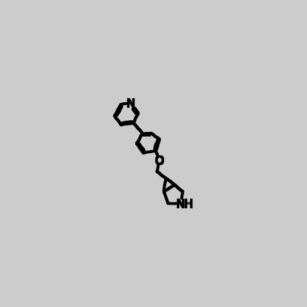 c1cncc(-c2ccc(OCC3C4CNCC43)cc2)c1